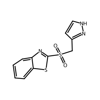 O=S(=O)(Cc1cc[nH]n1)c1nc2ccccc2s1